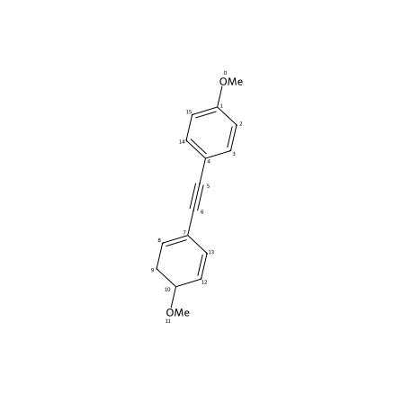 COc1ccc(C#CC2=CCC(OC)C=C2)cc1